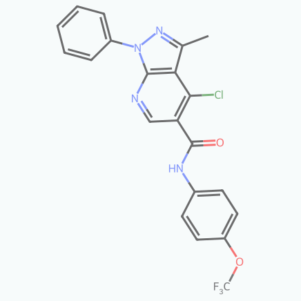 Cc1nn(-c2ccccc2)c2ncc(C(=O)Nc3ccc(OC(F)(F)F)cc3)c(Cl)c12